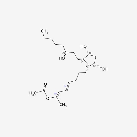 CCCCC[C@H](O)CC[C@@H]1[C@@H](CCC/C=C/C=C(\C)OC(C)=O)[C@@H](O)C[C@H]1O